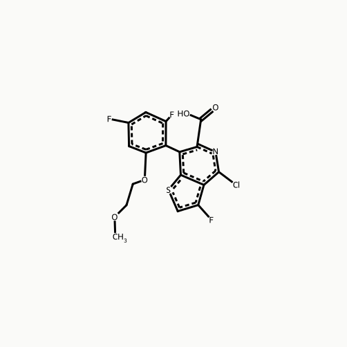 COCCOc1cc(F)cc(F)c1-c1c(C(=O)O)nc(Cl)c2c(F)csc12